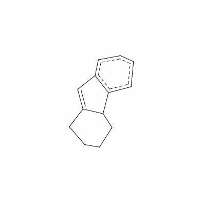 C1=C2CCCCC2c2ccccc21